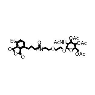 CCc1ccc(CCCC(=O)NCCOCCOC2OC(COC(C)=O)C(OC(C)=O)C(OC(C)=O)C2NC(C)=O)c2c1C(=O)OC2=O